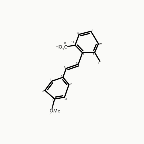 COc1ccc(C=Cc2c(C)cccc2C(=O)O)cc1